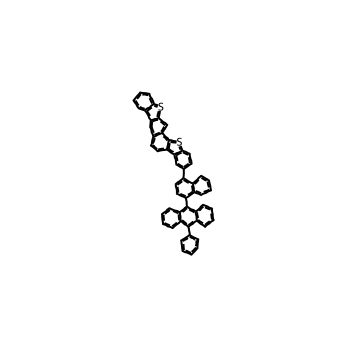 c1ccc(-c2c3ccccc3c(-c3ccc(-c4ccc5sc6c7cc8sc9ccccc9c8cc7ccc6c5c4)c4ccccc34)c3ccccc23)cc1